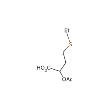 CCSCCC(OC(C)=O)C(=O)O